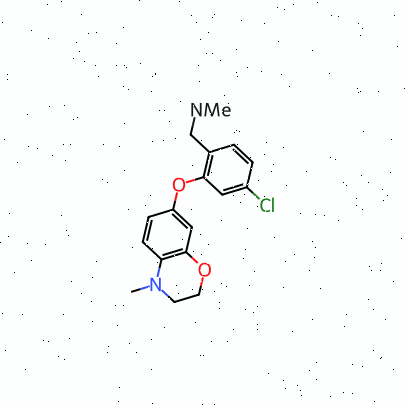 CNCc1ccc(Cl)cc1Oc1ccc2c(c1)OCCN2C